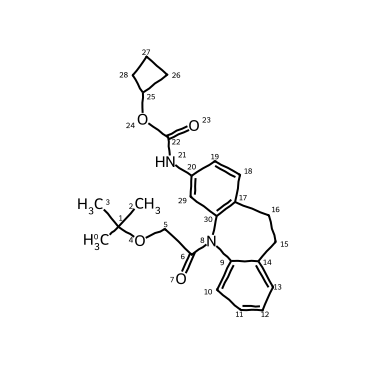 CC(C)(C)OCC(=O)N1c2ccccc2CCc2ccc(NC(=O)OC3CCC3)cc21